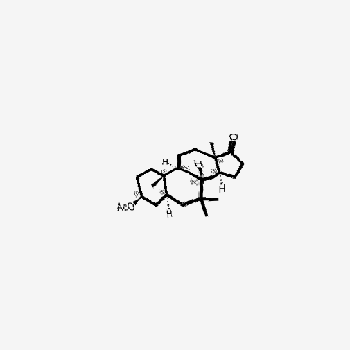 CC(=O)O[C@H]1CC[C@@]2(C)[C@H](C1)CC(C)(C)[C@@H]1[C@@H]2CC[C@]2(C)C(=O)CC[C@@H]12